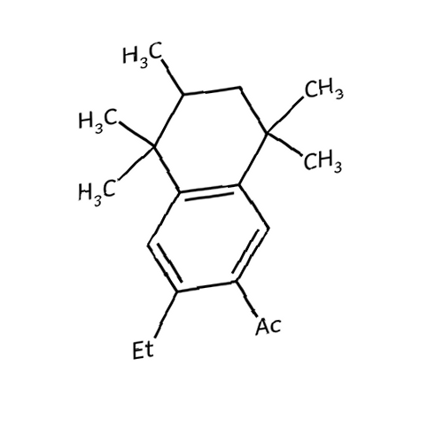 CCc1cc2c(cc1C(C)=O)C(C)(C)CC(C)C2(C)C